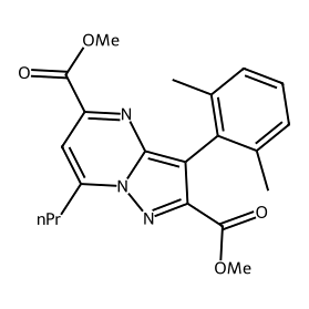 CCCc1cc(C(=O)OC)nc2c(-c3c(C)cccc3C)c(C(=O)OC)nn12